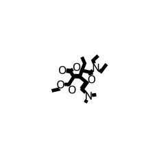 CCOC(=O)C1=C(C=CN(C)C)C(CC)(C(=O)N(CC)CC)OC1=O